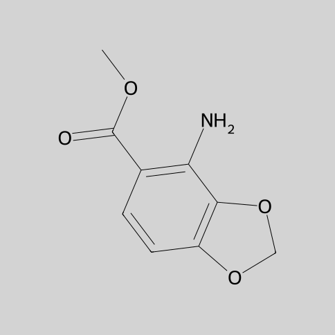 COC(=O)c1ccc2c(c1N)OCO2